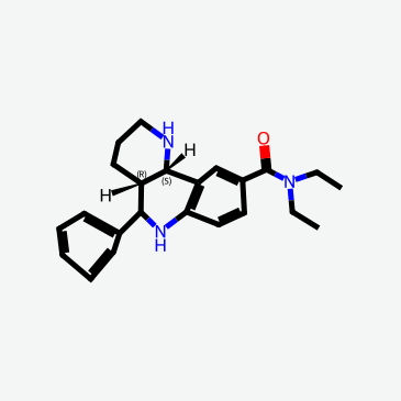 CCN(CC)C(=O)c1ccc2c(c1)[C@H]1NCCC[C@H]1C(c1ccccc1)N2